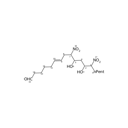 CCCCCC(C(O)CC(O)C(C/C=C/CCCC[C]=O)[N+](=O)[O-])[N+](=O)[O-]